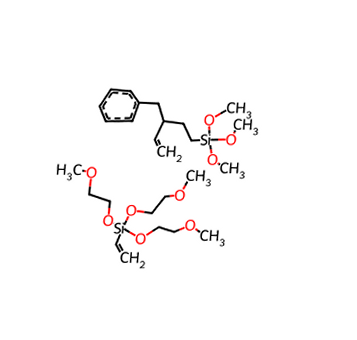 C=CC(CC[Si](OC)(OC)OC)Cc1ccccc1.C=C[Si](OCCOC)(OCCOC)OCCOC